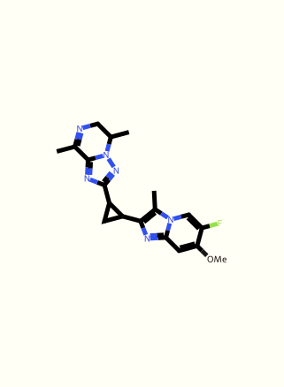 COc1cc2nc(C3CC3c3nc4n(n3)C(C)CN=C4C)c(C)n2cc1F